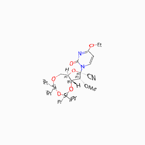 CCOc1ccn([C@]2(C#N)O[C@@H]3CO[Si](C(C)C)(C(C)C)O[Si](C(C)C)(C(C)C)O[C@H]3[C@H]2OC)c(=O)n1